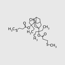 CCC(CC)(OC(=O)CCSC)C12CC3CC(C1)CC(C(CC)(CC)OC(=O)CCSC)(C3)C2